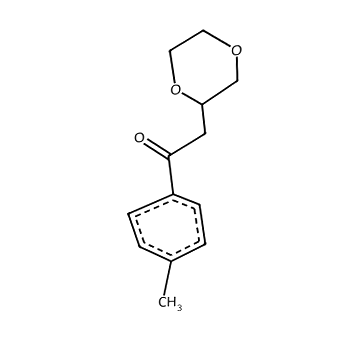 Cc1ccc(C(=O)CC2COCCO2)cc1